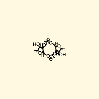 C[C@@H]1O[C@@H]2COP(C)(=O)O[C@@H]3C(O)[C@H](C)O[C@@H]3COP(C)(=O)O[C@@H]2C1O